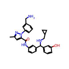 Cc1cc(C(=O)Nc2cccc(C(NCC3CC3)c3cccc(O)c3)c2)n(-c2cccc(CN)c2)n1